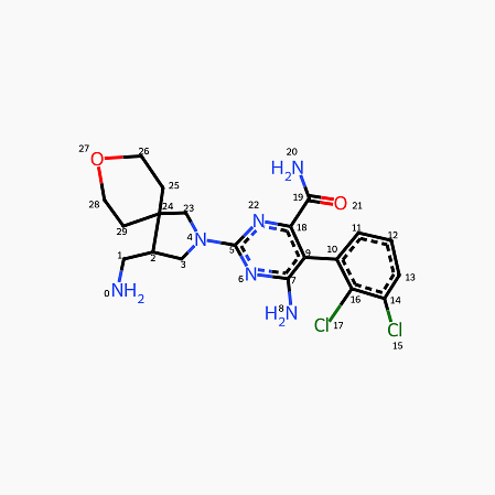 NCC1CN(c2nc(N)c(-c3cccc(Cl)c3Cl)c(C(N)=O)n2)CC12CCOCC2